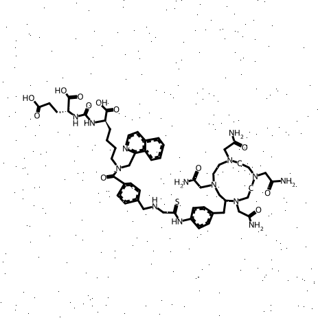 NC(=O)CN1CCN(CC(N)=O)CCN(CC(N)=O)C(Cc2ccc(NC(=S)CNCc3ccc(C(=O)N(CCCC[C@@H](NC(=O)N[C@H](CCC(=O)O)C(=O)O)C(=O)O)Cc4nccc5ccccc45)cc3)cc2)CN(CC(N)=O)CC1